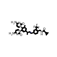 Cc1cc(C(C)/C=C/c2ccc(CNC(=O)C3CC3)c(C(F)(F)F)c2)cc(-n2ccc(N)nc2=O)c1-n1ccc(N)nc1=O